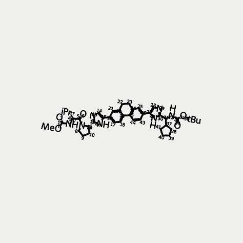 COC(=O)N[C@H](C(=O)N1CCC[C@H]1c1ncc(-c2ccc3c(c2)CCc2cc(-c4cnc(C(NC(=O)OC(C)(C)C)C5CCCC5)[nH]4)ccc2-3)[nH]1)C(C)C